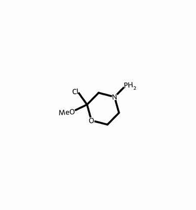 COC1(Cl)CN(P)CCO1